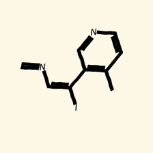 C=N/C=C(/I)c1cnccc1C